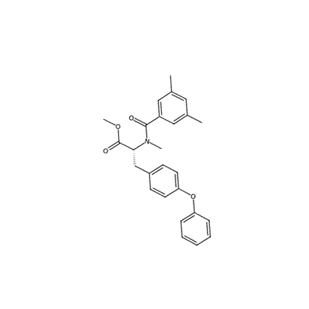 COC(=O)[C@@H](Cc1ccc(Oc2ccccc2)cc1)N(C)C(=O)c1cc(C)cc(C)c1